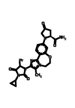 Cc1c(N2C(=O)N(C3CC3)C(=O)C2C(C)C)nc2n1CCOc1cc(N3CC(=O)C[C@H]3C(N)=O)ccc1-2